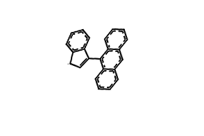 [CH]1C=C(c2c3ccccc3cc3ccccc23)c2ccccc21